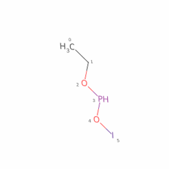 CCOPOI